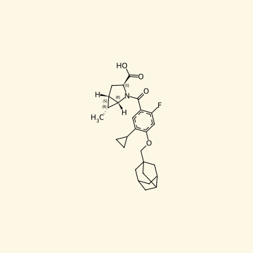 C[C@@H]1[C@@H]2C[C@@H](C(=O)O)N(C(=O)c3cc(C4CC4)c(OCC45CC6CC(C4)C(C6)C5)cc3F)[C@H]12